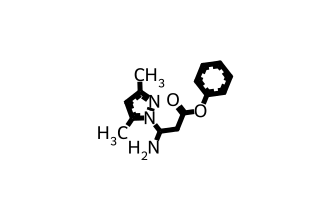 Cc1cc(C)n(C(N)CC(=O)Oc2ccccc2)n1